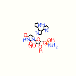 C1=CC(=C2C=CN=C2c2ccc[nH]2)N=C1.NP(O)OC[C@H]1O[C@@H](n2ccc(=O)[nH]c2=O)[C@H](O)[C@@H]1O